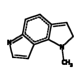 CN1CC=c2ccc3c(c21)C=CN=3